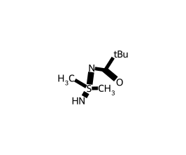 CC(C)(C)C(=O)N=S(C)(C)=N